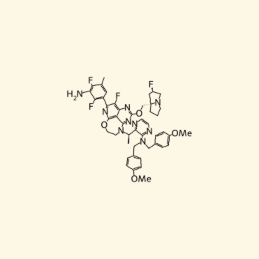 COc1ccc(CN(Cc2ccc(OC)cc2)c2nccnc2[C@@H](C)N2CCOc3nc(-c4cc(C)c(F)c(N)c4F)c(F)c4nc(OC[C@@]56CCCN5C[C@H](F)C6)nc2c34)cc1